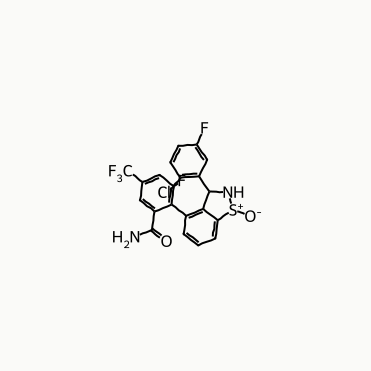 NC(=O)c1cc(C(F)(F)F)cc(F)c1-c1cccc2c1C(c1cc(F)ccc1Cl)N[S+]2[O-]